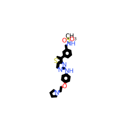 CS(=O)(=O)NCc1cccc(-c2csc3cnc(Nc4ccc(OCCN5CCCC5)cc4)nc23)c1